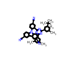 Cc1cc(C)cc(-c2nc(-c3cc(C)cc(C(C)(C)C)c3)nc(-c3cc(C#N)ccc3-n3c4ccc(C#N)cc4c4cc(C#N)ccc43)n2)c1